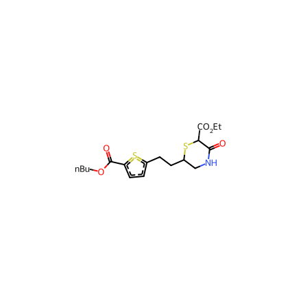 CCCCOC(=O)c1ccc(CCC2CNC(=O)C(C(=O)OCC)S2)s1